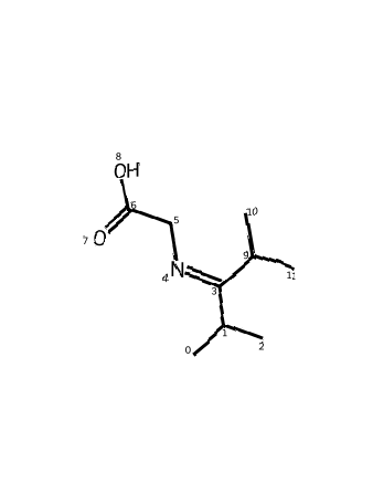 CC(C)C(=NCC(=O)O)C(C)C